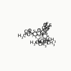 CC(C)OC(=O)c1ccc([C@@H](CCC(C)(C)C)N2C(=O)C(OS(=O)(=O)C(F)(F)F)=NC23CCC(C(C)(C)C)CC3)cc1